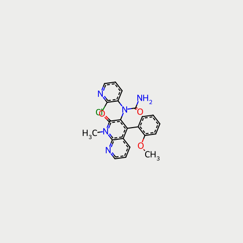 COc1ccccc1-c1c(N(C(N)=O)c2cccnc2Cl)c(=O)n(C)c2ncccc12